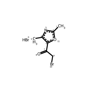 Br.Cc1nc(C)c(C(=O)CBr)o1